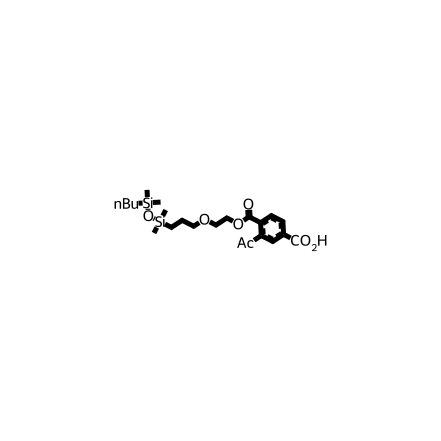 CCCC[Si](C)(C)O[Si](C)(C)CCCOCCOC(=O)c1ccc(C(=O)O)cc1C(C)=O